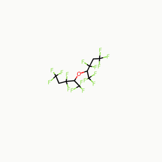 FC(F)(F)CC(F)(F)C(OC(C(F)(F)F)C(F)(F)CC(F)(F)F)C(F)(F)F